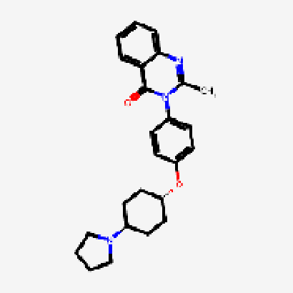 Cc1nc2ccccc2c(=O)n1-c1ccc(O[C@H]2CC[C@H](N3CCCC3)CC2)cc1